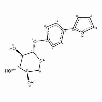 O[C@@H]1[C@@H](O)[C@H](Oc2ccc(-c3ccco3)cc2)SC[C@H]1O